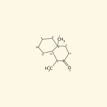 CC1C(=O)CCC2(C)CCCCC12